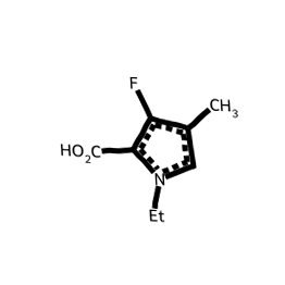 CCn1cc(C)c(F)c1C(=O)O